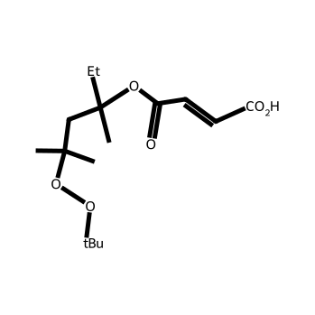 CCC(C)(CC(C)(C)OOC(C)(C)C)OC(=O)/C=C/C(=O)O